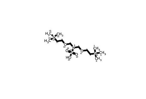 C[Si](C)(C)CCOCN(COCC[Si](C)(C)C)S(=O)(=O)O